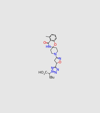 Cc1cccc2c1C(=O)NC1(CCN(C3=NOC(c4nnn(C(C(=O)O)C(C)(C)C)n4)C3)CC1)O2